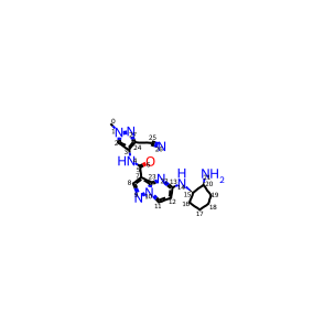 Cn1cc(NC(=O)c2cnn3ccc(N[C@@H]4CCCC[C@@H]4N)nc23)c(C#N)n1